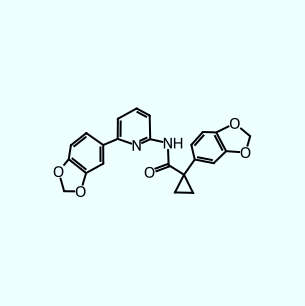 O=C(Nc1cccc(-c2ccc3c(c2)OCO3)n1)C1(c2ccc3c(c2)OCO3)CC1